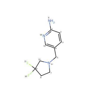 Nc1ccc(CN2CCC(F)(F)C2)cn1